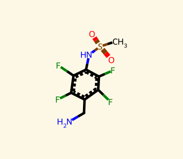 CS(=O)(=O)Nc1c(F)c(F)c(CN)c(F)c1F